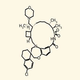 C[C@@H]1[C@@H](C)CCC[C@@H]([C@H](C)N2CCOCC2)[C@@H]2CC[C@H]2CN2C[C@@]3(CCCc4cc(Cl)ccc43)COc3ccc(cc32)C(=O)NS1(=O)=O